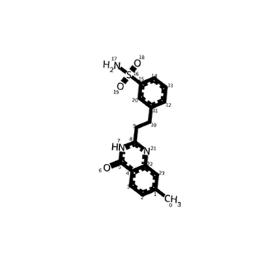 Cc1ccc2c(=O)[nH]c(CCc3cccc(S(N)(=O)=O)c3)nc2c1